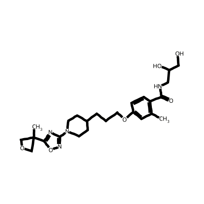 Cc1cc(OCCCC2CCN(c3noc(C4(C)COC4)n3)CC2)ccc1C(=O)NCC(O)CO